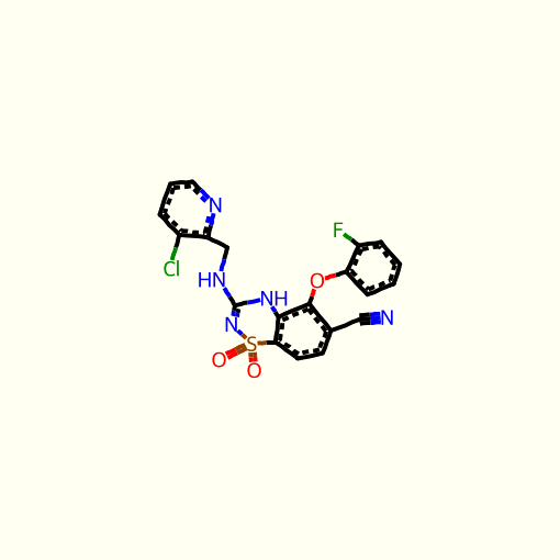 N#Cc1ccc2c(c1Oc1ccccc1F)NC(NCc1ncccc1Cl)=NS2(=O)=O